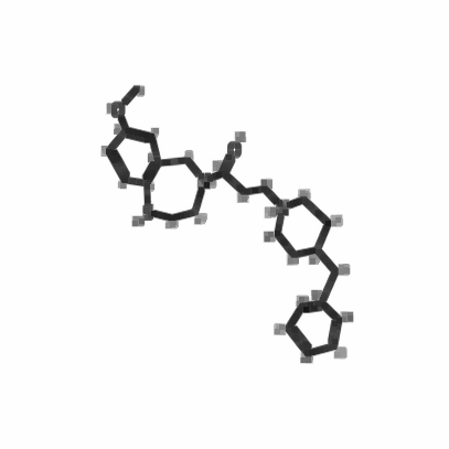 COc1ccc2c(c1)CN(C(=O)CCN1CCC(Cc3ccccc3)CC1)CCS2